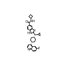 O=C(NC1CCC1)c1ccc2[nH]c(C(C3CC3)[C@H]3CC[C@@H](c4ccnc5ccc(F)cc54)CC3)nc2c1